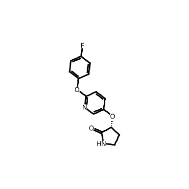 O=C1NCC[C@H]1Oc1ccc(Oc2ccc(F)cc2)nc1